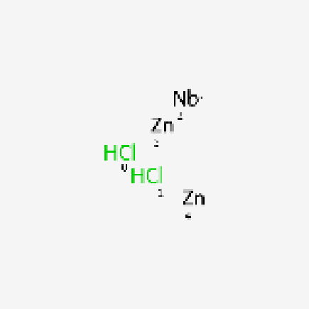 Cl.Cl.[Nb].[Zn].[Zn]